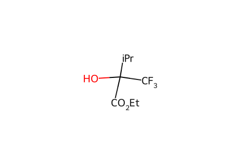 CCOC(=O)C(O)(C(C)C)C(F)(F)F